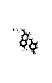 CCc1ccc2c(c1)N(Cc1ccc(Br)cc1F)C(=O)C(CC(=O)O)S2